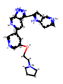 c1cc2[nH]c(-c3n[nH]c4cnc(-c5cncc(OCCN6CCCC6)c5)cc34)cc2cn1